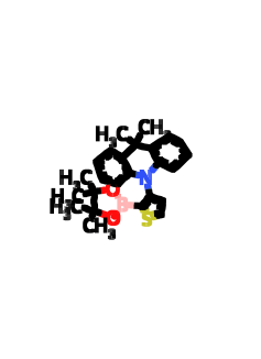 CC1(C)c2ccccc2N(c2ccsc2B2OC(C)(C)C(C)(C)O2)c2ccccc21